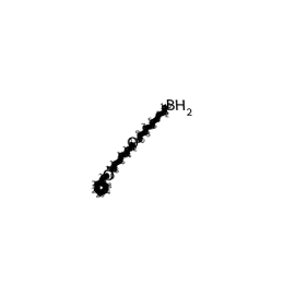 BCCCCCCCCCCOCCCCCCCCOCc1ccccc1